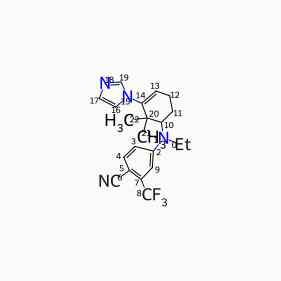 CCN(c1ccc(C#N)c(C(F)(F)F)c1)C1CCC=C(n2ccnc2)C1(C)C